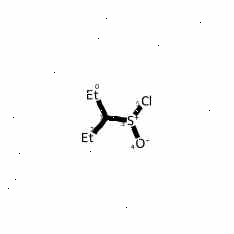 CCC(CC)[S+]([O-])Cl